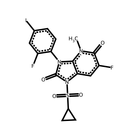 Cn1c(=O)c(F)cc2c1n(-c1ccc(I)cc1F)c(=O)n2S(=O)(=O)C1CC1